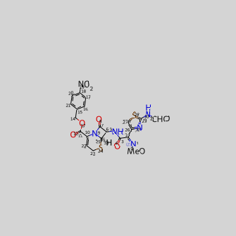 CO/N=C(\C(=O)NC1C(=O)N2C(C(=O)OCc3ccc([N+](=O)[O-])cc3)=CCS[C@H]12)c1csc(NC=O)n1